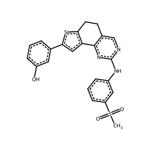 CS(=O)(=O)c1cccc(Nc2ncc3c(n2)-c2cc(-c4cccc(O)c4)sc2CC3)c1